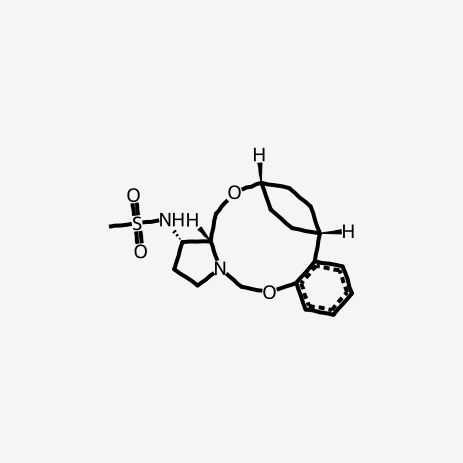 CS(=O)(=O)N[C@H]1CCN2COc3ccccc3[C@H]3CC[C@H](CC3)OC[C@@H]12